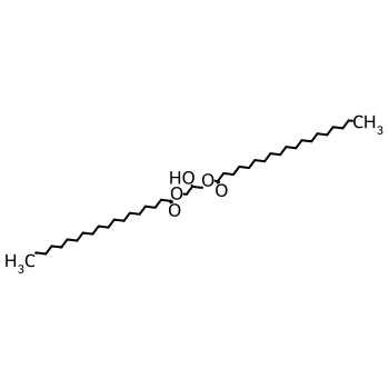 CCCCCCCCCCCCCCCCCCC(=O)OCC(O)COC(=O)CCCCCCCCCCCCCCCCCC